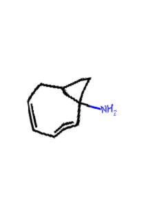 NC12C=CC=CCC1C2